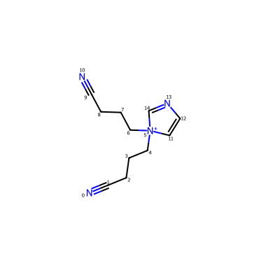 N#CCCC[N+]1(CCCC#N)C=CN=C1